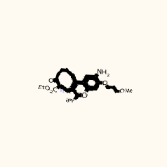 CCOC(=O)/C1=C/C2=C(CCCCC1=O)c1cc(N)c(OCCCOC)cc1OC2C(C)C